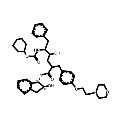 O=C(NC(Cc1ccccc1)C(O)CC(Cc1ccc(OCCN2CCOCC2)cc1)C(=O)N[C@H]1c2ccccc2C[C@@H]1O)OC1CCCCC1